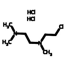 CN(C)CCN(C)CCCl.Cl.Cl